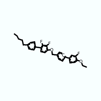 CCCCCc1ccc(-c2ccc(OCc3ccc(-c4ccc(OCC)c(F)c4)cc3)c(F)c2F)cc1